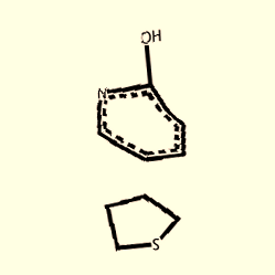 C1CCSC1.Oc1ccccn1